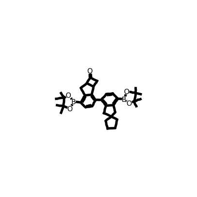 CC1(C)OB(c2ccc(-c3ccc(B4OC(C)(C)C(C)(C)O4)c4c3C3CC(=O)C3C4)c3c2CC2(CCCC2)C3)OC1(C)C